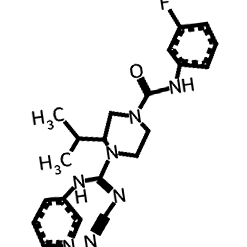 CC(C)C1CN(C(=O)Nc2cccc(F)c2)CCN1/C(=N/C#N)Nc1cccnc1